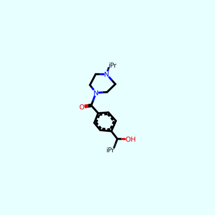 CC(C)C(O)c1ccc(C(=O)N2CCN(C(C)C)CC2)cc1